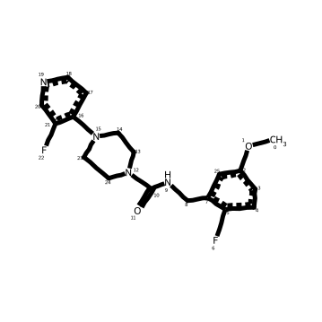 COc1ccc(F)c(CNC(=O)N2CCN(c3ccncc3F)CC2)c1